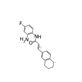 Nc1cc(F)ccc1NC(=O)/C=C/c1ccc2c(c1)CCC[CH]2